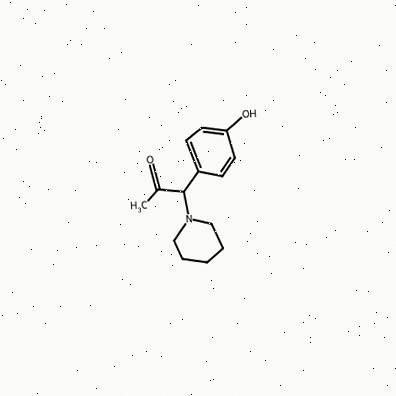 CC(=O)C(c1ccc(O)cc1)N1CCCCC1